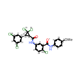 COc1ccc(NC(=O)c2cc(NC(=O)C3[C@@H](c4cc(Cl)cc(Cl)c4)C3(Cl)Cl)ccc2Cl)cc1